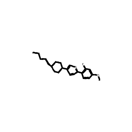 CCCCCC1CCC(c2ccc(-c3ccc(OC)cc3F)nc2)CC1